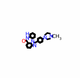 CN1CCCN(c2ccc(-c3nc4cccc5c4n3-c3ccccc3NC5=O)cc2)CC1